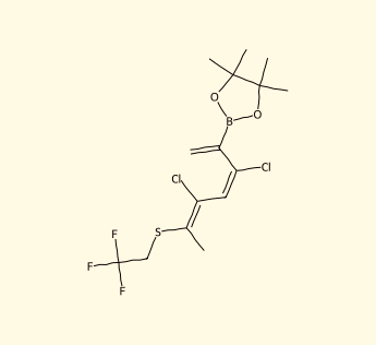 C=C(B1OC(C)(C)C(C)(C)O1)/C(Cl)=C\C(Cl)=C(/C)SCC(F)(F)F